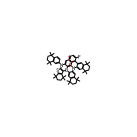 Cc1cc2c3c(c1)N(c1ccc4c(c1)C(C)(C)CCC4(C)C)c1sc4c(c1B3c1cc3c(cc1N2c1cc2c(cc1-c1c(F)cccc1F)C(C)(C)CCC2(C)C)C(C)(C)CCC3(C)C)C(C)(C)CCC4(C)C